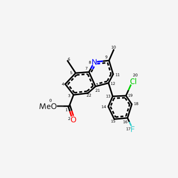 COC(=O)c1cc(C)c2nc(C)cc(-c3ccc(F)cc3Cl)c2c1